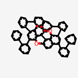 c1ccc(-c2ccccc2-c2cc(-c3ccccc3-c3ccccc3)c3oc4ccc5c(-c6ccccc6-c6ccccc6)cc(-c6ccccc6-c6ccccc6)c6oc7ccc2c3c7-c4c56)cc1